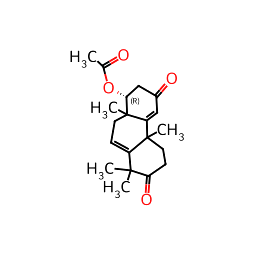 CC(=O)O[C@@H]1CC(=O)C=C2C3(C)CCC(=O)C(C)(C)C3=CCC21C